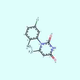 O=c1cc(C(F)(F)F)n(-c2cc(Cl)ccc2[N+](=O)[O-])c(=O)[nH]1